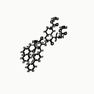 CC(C)(CC(=O)N(CC1CCN(C(=O)OC(C)(C)C)CC1)CC1C(=O)NC(Cc2ccc3ccccc3c2)C(=O)N1Cc1ccc(-c2ccccc2)cc1)NC(=O)OC(C)(C)C